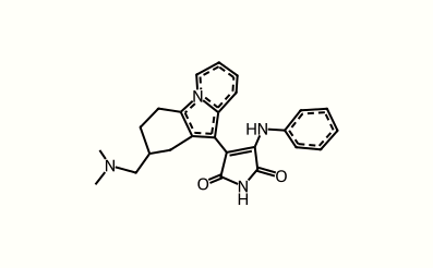 CN(C)CC1CCc2c(c(C3=C(Nc4ccccc4)C(=O)NC3=O)c3ccccn23)C1